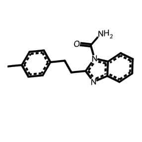 Cc1ccc(CCc2nc3ccccc3n2C(N)=O)cc1